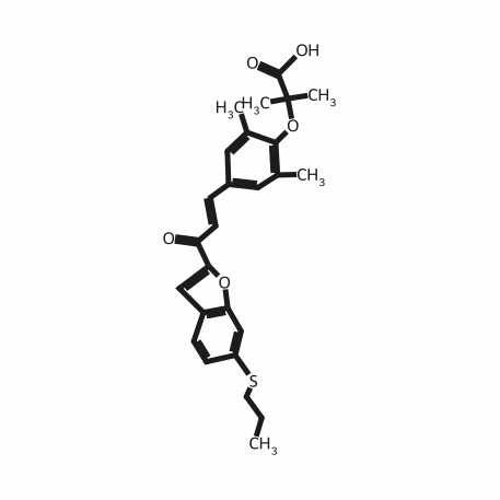 CCCSc1ccc2cc(C(=O)/C=C/c3cc(C)c(OC(C)(C)C(=O)O)c(C)c3)oc2c1